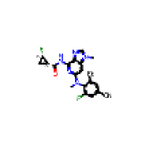 CCc1cc(C#N)cc(F)c1N(C)c1cc2c(ncn2C)c(NC(=O)[C@@H]2C[C@@H]2F)n1